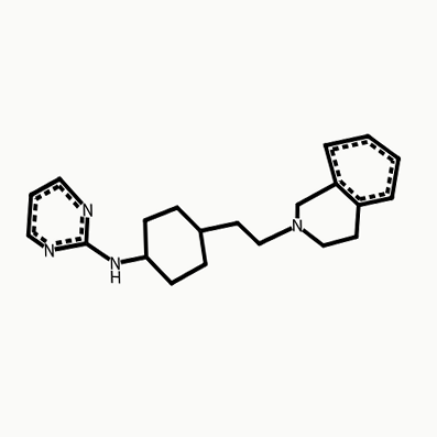 c1cnc(NC2CCC(CCN3CCc4ccccc4C3)CC2)nc1